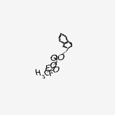 CC(F)(F)C(=O)OCC(=O)OCCc1ccc2ccccc2c1